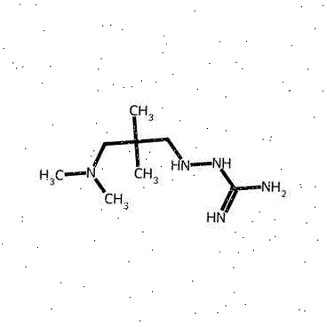 CN(C)CC(C)(C)CNNC(=N)N